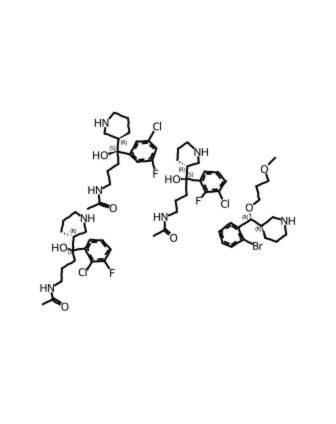 CC(=O)NCCC[C@@](O)(c1cc(F)cc(Cl)c1)[C@@H]1CCCNC1.CC(=O)NCCC[C@@](O)(c1cccc(Cl)c1F)[C@@H]1CCCNC1.CC(=O)NCCC[C@@](O)(c1cccc(F)c1Cl)[C@@H]1CCCNC1.COCCCO[C@@H](c1ccccc1Br)[C@@H]1CCCNC1